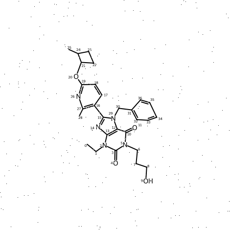 CCn1c(=O)n(CCCO)c(=O)c2c1nc(-c1ccc(OC3CCC3C)nc1C)n2Cc1ccccc1